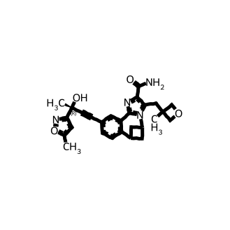 Cc1cc([C@](C)(O)C#Cc2ccc3c(c2)-c2nc(C(N)=O)c(CC4(C)COC4)n2C2CC3C2)no1